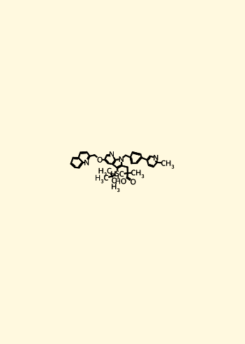 Cc1ccc(-c2ccc(Cn3c(CC(C)(C)C(=O)O)c(SC(C)(C)C)c4cc(OCc5ccc6ccccc6n5)cnc43)cc2)cn1